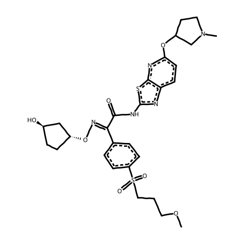 COCCCS(=O)(=O)c1ccc(/C(=N\O[C@@H]2CC[C@@H](O)C2)C(=O)Nc2nc3ccc(OC4CCN(C)C4)nc3s2)cc1